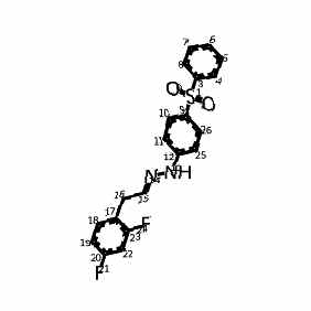 O=S(=O)(c1ccccc1)c1ccc(NN=CCc2ccc(F)cc2F)cc1